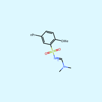 CCCc1ccc(OC)c(S(=O)(=O)/N=C/N(C)C)c1